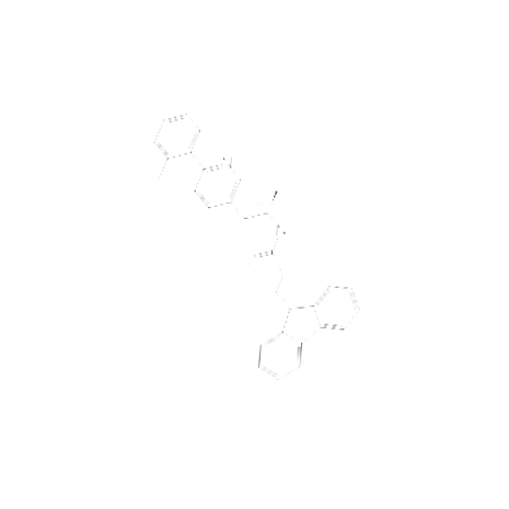 Cc1ccccc1-c1ccc(C[C@@H](C)NC(=O)OCC2c3ccccc3-c3ccccc32)cn1